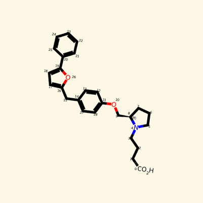 O=C(O)CCCN1CCC[C@@H]1COc1ccc(Cc2ccc(-c3ccccc3)o2)cc1